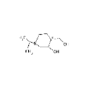 CC(C)N1CC[C@H](CO)C(O)C1